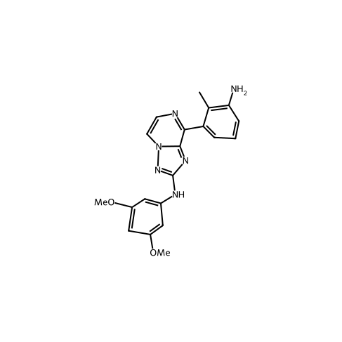 COc1cc(Nc2nc3c(-c4cccc(N)c4C)nccn3n2)cc(OC)c1